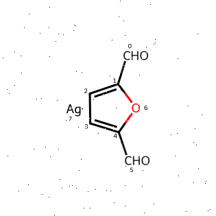 O=Cc1ccc(C=O)o1.[Ag]